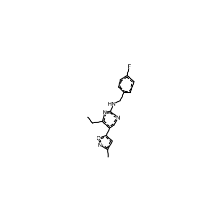 CCc1nc(NCc2ccc(F)cc2)ncc1-c1cc(C)no1